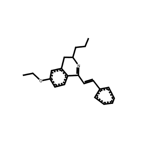 CCCC1Cc2cc(OCC)ccc2C(C=Cc2ccccc2)=N1